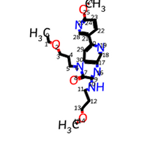 CCOCCCn1c(=O)c(NCCCOC)nc2cnc(-c3ccc(OC)nc3)cc21